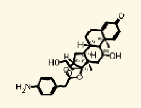 C[C@]12C=CC(=O)C=C1CC[C@@H]1C2[C@@H](O)C[C@@]2(C)[C@H]1C[C@H]1OC(Cc3ccc(N)cc3)O[C@]12C(=O)CO